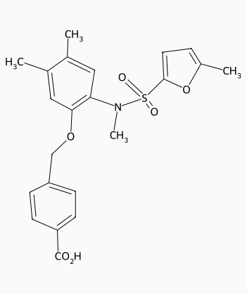 Cc1ccc(S(=O)(=O)N(C)c2cc(C)c(C)cc2OCc2ccc(C(=O)O)cc2)o1